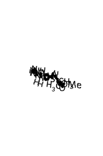 COC(=O)C(C)(C)CCc1ncc(-c2ccc(NC(=O)Nc3nnn[nH]3)cc2)s1